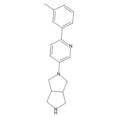 Cc1cccc(-c2ccc(N3CC4CNCC4C3)cn2)c1